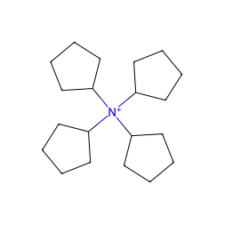 C1CCC([N+](C2CCCC2)(C2CCCC2)C2CCCC2)C1